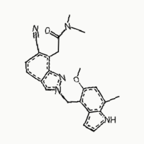 COc1cc(C)c2[nH]ccc2c1Cn1cc2ccc(C#N)c(CC(=O)N(C)C)c2n1